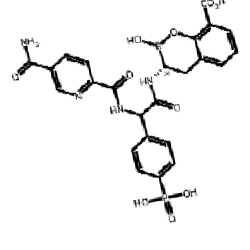 NC(=O)c1ccc(C(=O)NC(C(=O)N[C@H]2Cc3cccc(C(=O)O)c3OB2O)c2ccc(P(=O)(O)O)cc2)nc1